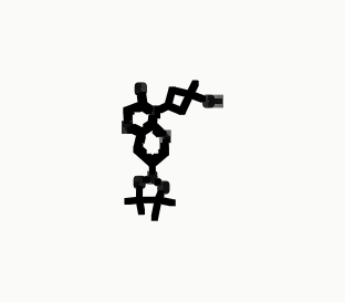 CC1(O)CC(n2c(=O)cnc3cc(B4OC(C)(C)C(C)(C)O4)cnc32)C1